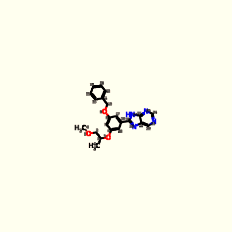 COC[C@H](C)Oc1cc(OCc2ccccc2)cc(-c2nc3cncnc3[nH]2)c1